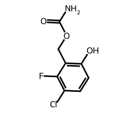 NC(=O)OCc1c(O)ccc(Cl)c1F